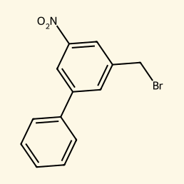 O=[N+]([O-])c1cc(CBr)cc(-c2ccccc2)c1